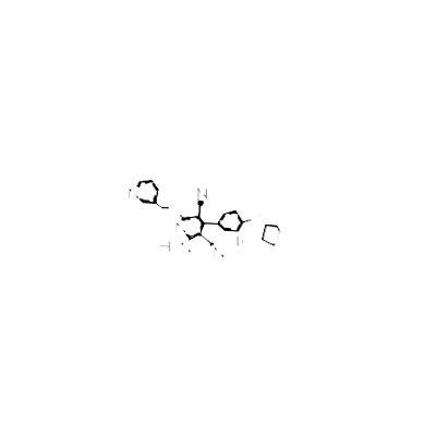 N#Cc1c(N)nc(SCc2cccnc2)c(C#N)c1-c1ccc(O[C@H]2COC[C@@H]2O)cc1